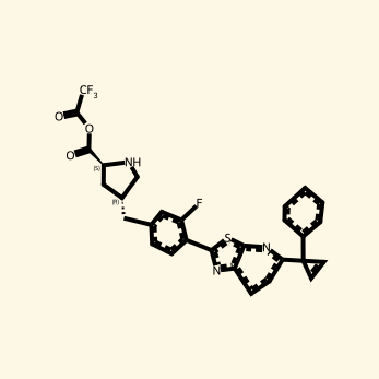 O=C(OC(=O)C(F)(F)F)[C@@H]1C[C@@H](Cc2ccc(-c3nc4ccc(C5(c6ccccc6)C=C5)nc4s3)c(F)c2)CN1